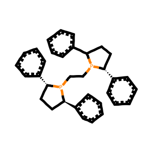 c1ccc(C2CC[C@H](c3ccccc3)P2CCP2[C@@H](c3ccccc3)CC[C@@H]2c2ccccc2)cc1